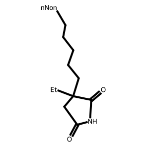 CCCCCCCCCCCCCCC1(CC)CC(=O)NC1=O